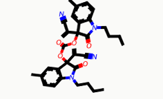 C=C(C#N)C1(OC(=O)OC2(C(=C)C#N)C(=O)N(CCCC)c3ccc(C)cc32)C(=O)N(CCCC)c2ccc(C)cc21